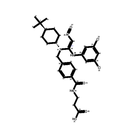 CC(C)(C)[C@H]1CC[C@H](N(Cc2ccc(C(=O)NCCC(=O)O)cc2)/C(=C\N=O)Nc2cc(Cl)cc(Cl)c2)CC1